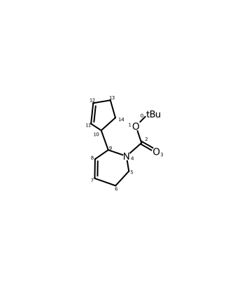 CC(C)(C)OC(=O)N1CCC=CC1C1C=CCC1